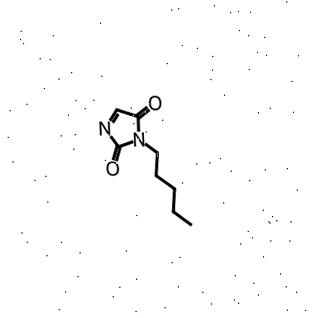 CCCCCN1C(=O)C=NC1=O